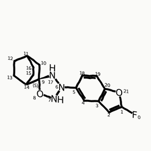 Fc1cc2cc(N3NO[C@]4(CC5CCC4CC5)N3)ccc2o1